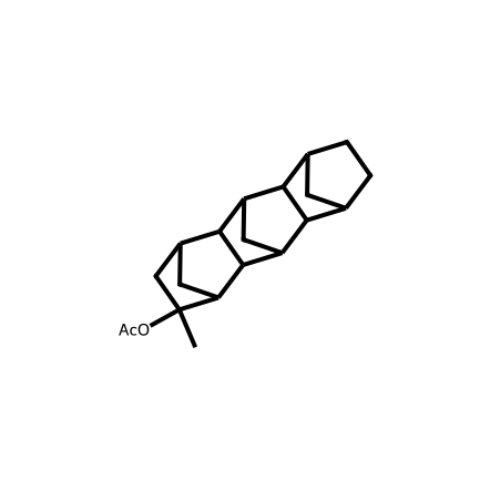 CC(=O)OC1(C)CC2CC1C1C3CC(C4C5CCC(C5)C34)C21